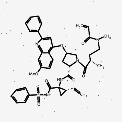 C=CC(=O)N(C)CC[C@H](C)C(=O)N1C[C@H](Oc2cc(-c3ccccc3)nc3cc(OC)ccc23)C[C@H]1C(=O)N[C@]1(C(=O)NS(=O)(=O)c2ccccc2)C[C@H]1C=C